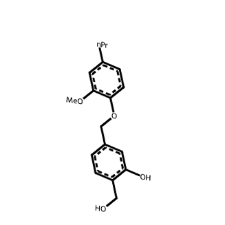 CCCc1ccc(OCc2ccc(CO)c(O)c2)c(OC)c1